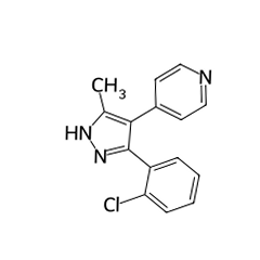 Cc1[nH]nc(-c2ccccc2Cl)c1-c1ccncc1